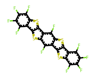 Fc1c(F)c(F)c2c(sc3c2sc2c(F)c4c(sc5c4sc4c(F)c(F)c(F)c(F)c45)c(F)c23)c1F